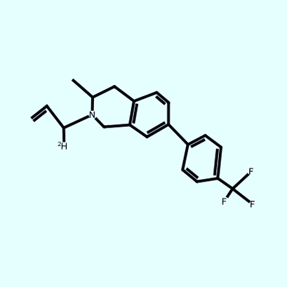 [2H]C(C=C)N1Cc2cc(-c3ccc(C(F)(F)F)cc3)ccc2CC1C